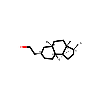 C[C@]12CC[C@@H]3C[C@H](CCO)CC[C@H]3[C@@H]1CC[C@@H]2C#N